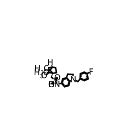 CC1(C)[C@H]2CC[C@]1(CS(=O)(=O)Nc1ccc3c(c1)CCN3Cc1ccc(F)cc1)C(=O)C2